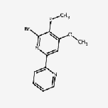 COc1cc(-c2ccccn2)nc(Br)c1SC